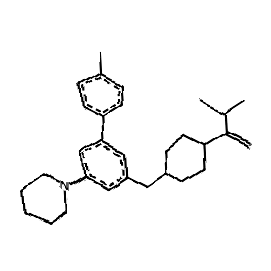 C=C(C(C)C)C1CCC(Cc2cc(-c3ccc(C)cc3)cc(N3CCCCC3)c2)CC1